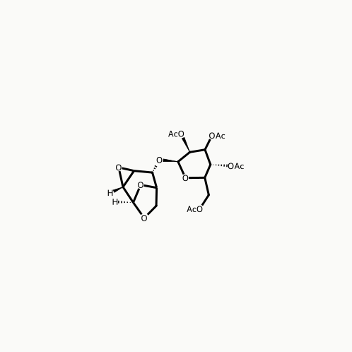 CC(=O)OCC1O[C@@H](O[C@@H]2C3CO[C@H](O3)[C@@H]3OC23)[C@@H](OC(C)=O)C(OC(C)=O)[C@@H]1OC(C)=O